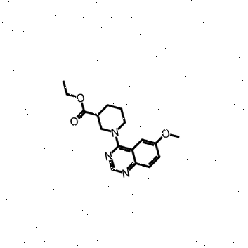 CCOC(=O)C1CCCN(c2ncnc3ccc(OC)cc23)C1